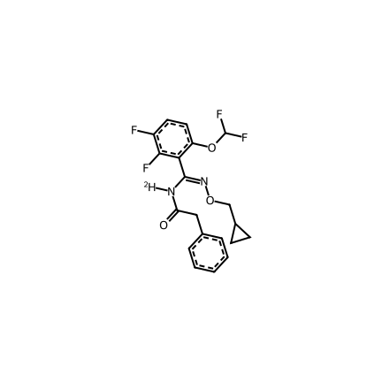 [2H]N(C(=O)Cc1ccccc1)/C(=N\OCC1CC1)c1c(OC(F)F)ccc(F)c1F